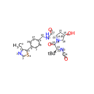 Cc1ncsc1-c1ccc(CNC(=O)[C@@H]2C[C@@H](O)CN2C(=O)[C@@H](N=C=O)C(C)(C)C)cc1